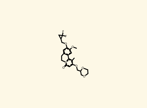 COc1cc2c(cc1OCC1CC1(F)F)CCn1c-2c(C)c(OCC2COCCO2)cc1=O